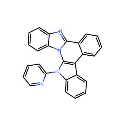 c1ccc(-n2c3ccccc3c3c4ccccc4c4nc5ccccc5n4c32)nc1